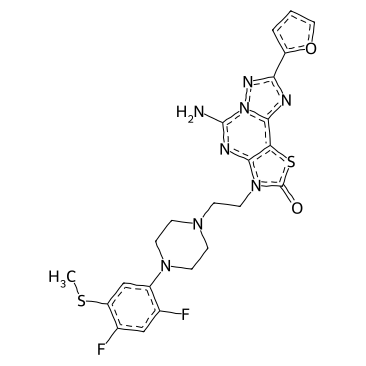 CSc1cc(N2CCN(CCn3c(=O)sc4c3nc(N)n3nc(-c5ccco5)nc43)CC2)c(F)cc1F